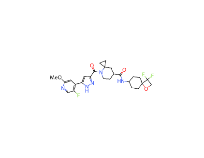 COc1cc(-c2cc(C(=O)N3CC[C@H](C(=O)NC4CCC5(CC4)OCC5(F)F)CC34CC4)n[nH]2)c(F)cn1